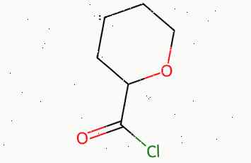 O=C(Cl)C1C[C]CCO1